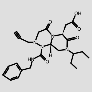 C#CCN1CC(=O)N2[C@@H](CC(=O)O)C(=O)N(C(CC)CC)C[C@@H]2N1C(=O)NCc1ccccc1